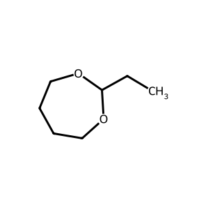 CCC1OCCCCO1